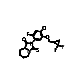 O=C1C2CCCCN2C(=S)N1c1cc(OCC2CC2(F)F)c(Cl)cc1F